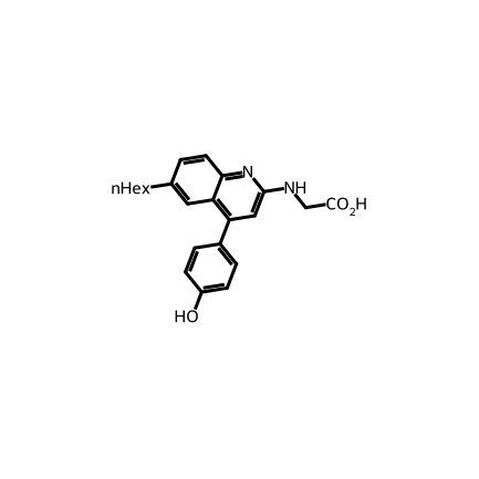 CCCCCCc1ccc2nc(NCC(=O)O)cc(-c3ccc(O)cc3)c2c1